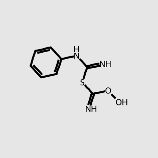 N=C(Nc1ccccc1)SC(=N)OO